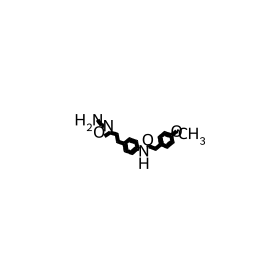 COc1ccc(CC(=O)Nc2ccc(CCC3COC(N)=N3)cc2)cc1